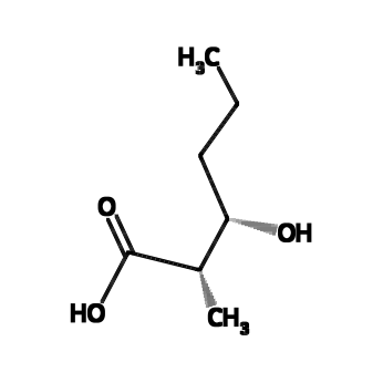 CCC[C@H](O)[C@H](C)C(=O)O